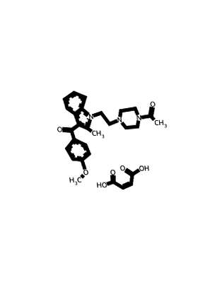 COc1ccc(C(=O)c2c(C)n(CCN3CCN(C(C)=O)CC3)c3ccccc23)cc1.O=C(O)/C=C\C(=O)O